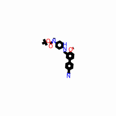 COc1ccc(-c2ccc(C#N)cc2)cc1CN[C@H]1CC[C@H](N(C)C(=O)OC(C)(C)C)CC1